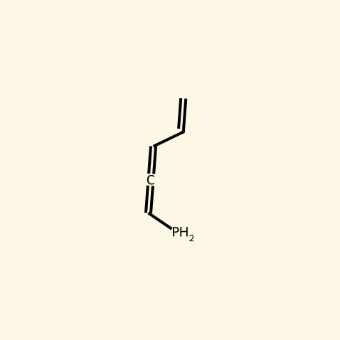 C=CC=C=CP